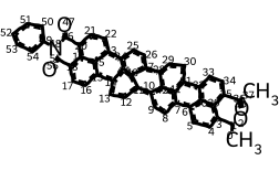 CC(=O)c1ccc2c3ccc4c5ccc6c7ccc8c9c(ccc(c%10ccc(c%11ccc(c%12ccc(C(C)=O)c1c2%12)c3c4%11)c5c6%10)c97)C(=O)N(c1ccccc1)C8=O